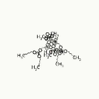 CCCCCCc1ccc(N(c2ccc(CCCCCC)cc2)c2ccc(CCCS(=O)(=O)c3cc4c5c(ccc6c7c(S(=O)(=O)CCCc8ccc(N(c9ccc(CCCCCC)cc9)c9ccc(CCCCCC)cc9)cc8)cc8c9c(ccc(c3c56)c97)C(=O)N(c3c(C(C)C)cccc3C(C)C)C8=O)C(=O)N(c3c(C(C)C)cccc3C(C)C)C4=O)cc2)cc1